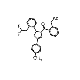 CC(=O)Cc1ccccc1C(=O)C1C=C(c2ccc(C)cc2)CC1c1ccccc1CC(F)F